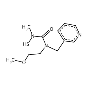 COCCN(Cc1cccnc1)C(=O)N(C)S